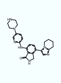 O=C1NCc2c(-c3cnc4n3CCCC4)ccc(Nc3ccc(N4CCNCC4)cn3)c21